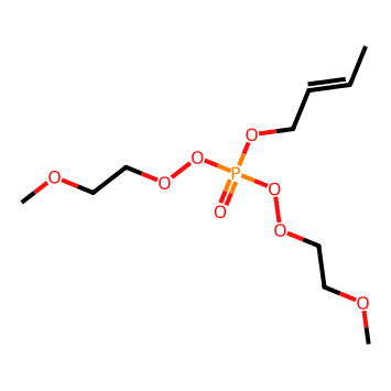 CC=CCOP(=O)(OOCCOC)OOCCOC